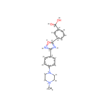 CN1CCN(c2ccc(-c3noc(-c4cccc(C(=O)O)c4)n3)cc2)CC1